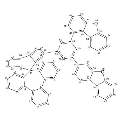 c1ccc2c(c1)-c1ccccc1C1(c3ccccc3-2)c2ccccc2-c2ccc(-c3nc(-c4ccc5c(c4)oc4ccccc45)nc(-c4cccc5oc6ccccc6c45)n3)cc21